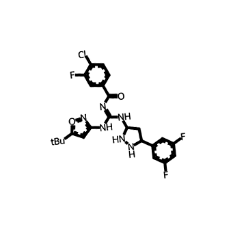 CC(C)(C)c1cc(N/C(=N/C(=O)c2ccc(Cl)c(F)c2)NC2CC(c3cc(F)cc(F)c3)NN2)no1